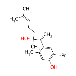 C=C(c1cc(C(C)C)c(O)cc1C)C(C)(O)CCC=C(C)C